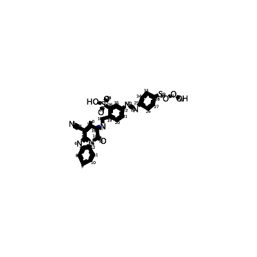 CC1=C(C#N)c2nc3ccccc3n2C(=O)/C1=N/Cc1ccc(N=Nc2ccc(SOOO)cc2)cc1S(=O)(=O)O